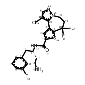 NCC[C@H](Cc1cccc(F)c1)NC(=O)c1cc2c(s1)C(F)(F)CCn1ncc(Cl)c1-2